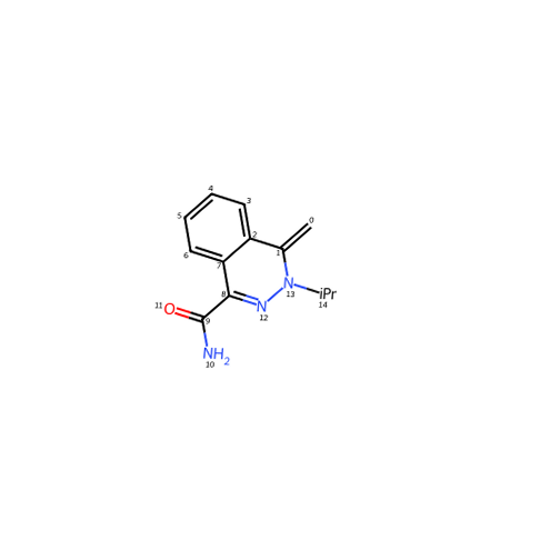 C=C1c2ccccc2C(C(N)=O)=NN1C(C)C